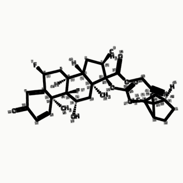 C[C@@H]1C[C@H]2[C@@H]3C[C@H](F)C4=CC(=O)C=C[C@]4(C)[C@@]3(F)[C@@H](O)C[C@]2(C)[C@@]1(OC(=O)O[C@H]1C[C@H]2CCC1C2(C)C)C(=O)OCC#N